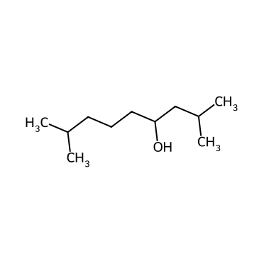 CC(C)CCCC(O)CC(C)C